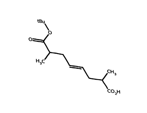 CC(CC=CCC(C)C(=O)OC(C)(C)C)C(=O)O